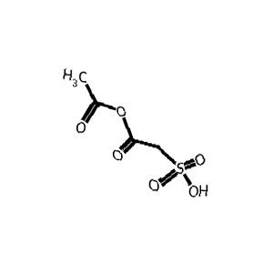 CC(=O)OC(=O)CS(=O)(=O)O